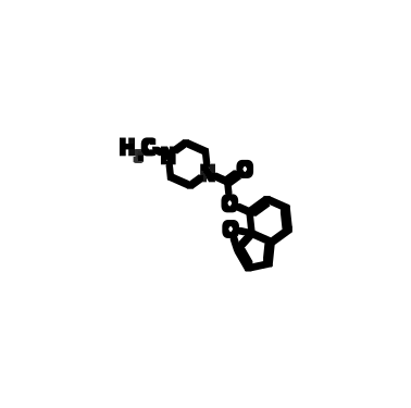 CN1CCN(C(=O)OC2=CC=CC3=CC=C4OC324)CC1